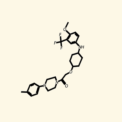 COc1ccc(NC2CCC(OCC(=O)N3CCN(c4ccc(C)cc4)CC3)CC2)cc1C(F)(F)F